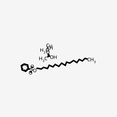 CC(=O)O.CCCCCCCCCCCCCCCCCCOS(=O)(=O)c1ccccc1.O.[Cu].[KH]